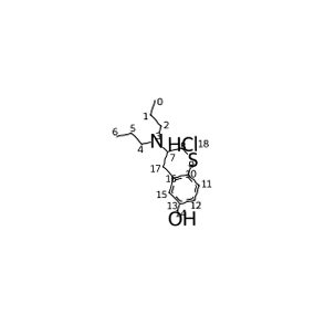 CCCN(CCC)C1CSc2ccc(O)cc2C1.Cl